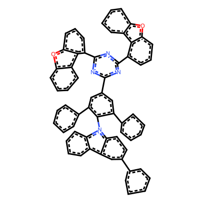 c1ccc(-c2ccc3c(c2)c2ccccc2n3-c2c(-c3ccccc3)cc(-c3nc(-c4cccc5oc6ccccc6c45)nc(-c4cccc5oc6ccccc6c45)n3)cc2-c2ccccc2)cc1